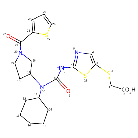 O=C(O)CSc1cnc(NC(=O)N(C2CCCCC2)C2CCN(C(=O)c3cccs3)C2)s1